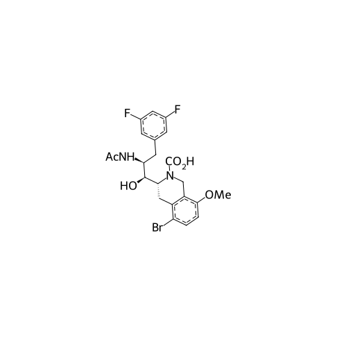 COc1ccc(Br)c2c1CN(C(=O)O)[C@@H]([C@@H](O)[C@H](Cc1cc(F)cc(F)c1)NC(C)=O)C2